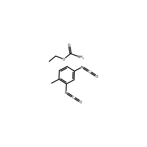 CCOC(N)=O.Cc1ccc(N=C=O)cc1N=C=O